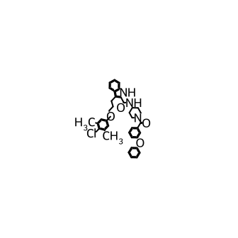 Cc1cc(OCCCc2c(C(=O)NC3CCN(C(=O)c4cccc(Oc5ccccc5)c4)CC3)[nH]c3ccccc23)cc(C)c1Cl